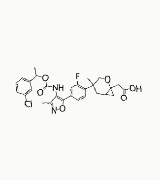 Cc1noc(-c2ccc(C3(C)COC4(CC(=O)O)CC4C3)c(F)c2)c1NC(=O)OC(C)c1cccc(Cl)c1